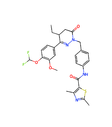 CCC1CC(=O)N(Cc2ccc(NC(=O)c3sc(C)nc3C)cc2)N=C1c1ccc(OC(F)F)c(OC)c1